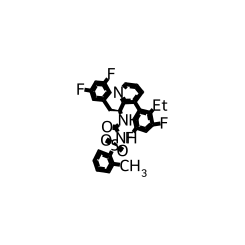 CCc1c(F)cc(F)cc1-c1cccnc1[C@H](Cc1cc(F)cc(F)c1)NC(=O)NS(=O)(=O)c1ccccc1C